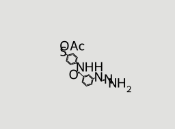 CC(=O)OSc1ccc(NC(=O)c2cccc(NC=NN)c2)cc1